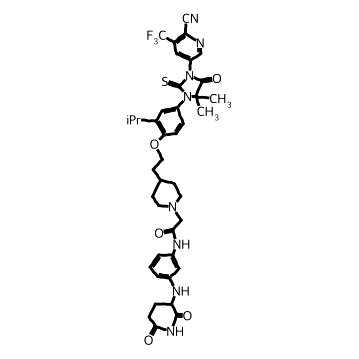 CC(C)c1cc(N2C(=S)N(c3cnc(C#N)c(C(F)(F)F)c3)C(=O)C2(C)C)ccc1OCCC1CCN(CC(=O)Nc2cccc(NC3CCC(=O)NC3=O)c2)CC1